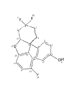 Oc1ccc(C23CCC(F)(F)CC2Oc2ccc(F)cc23)cc1